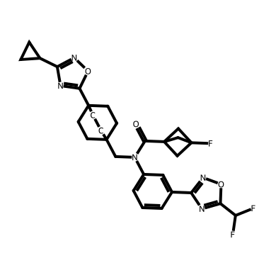 O=C(N(CC12CCC(c3nc(C4CC4)no3)(CC1)CC2)c1cccc(-c2noc(C(F)F)n2)c1)C12CC(F)(C1)C2